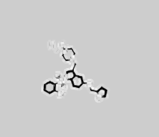 CN1CCN(Cc2cn(S(=O)(=O)c3ccccc3Br)c3ccc(OCc4ccco4)cc23)CC1